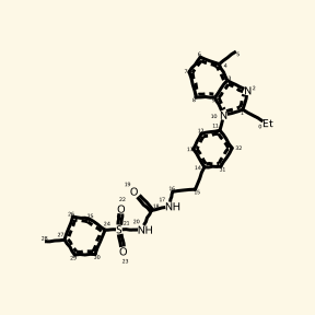 CCc1nc2c(C)cccc2n1-c1ccc(CCNC(=O)NS(=O)(=O)c2ccc(C)cc2)cc1